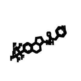 O=C(Cc1ccncc1)NC1CCC2c3ccc(C(F)(C(F)(F)F)C(F)(F)F)cc3CCC12